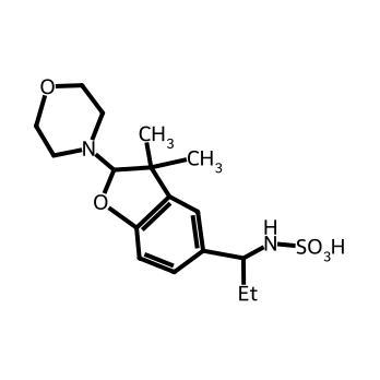 CCC(NS(=O)(=O)O)c1ccc2c(c1)C(C)(C)C(N1CCOCC1)O2